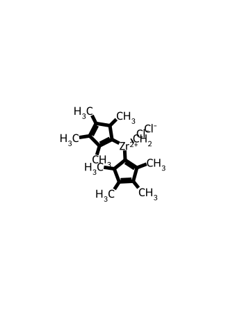 [CH2]=[Zr+2]([C]1=C(C)C(C)=C(C)C1C)[C]1=C(C)C(C)=C(C)C1C.[Cl-].[Cl-]